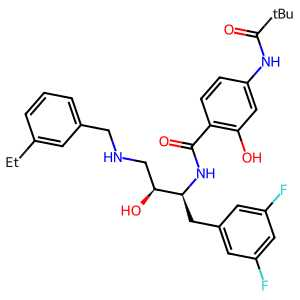 CCc1cccc(CNC[C@H](O)[C@H](Cc2cc(F)cc(F)c2)NC(=O)c2ccc(NC(=O)C(C)(C)C)cc2O)c1